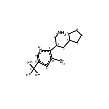 NCC(CC1CCCC1)c1ncc(C(F)(F)F)cc1Br